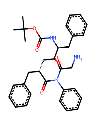 CC(C)(C)OC(=O)N[C@@H](Cc1ccccc1)[C@@H](O)C[C@@H](Cc1ccccc1)C(=O)N(C(=O)CN)c1ccccc1